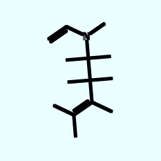 C=CN(C)C(C)(C)C(C)(C)C(C)=C(C)C